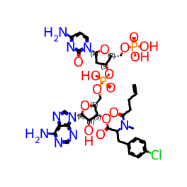 C=CCCC(=O)N(C)C(Cc1ccc(Cl)cc1)C(=O)O[C@H]1[C@@H](O)[C@H](n2cnc3c(N)ncnc32)O[C@H]1COP(=O)(O)O[C@H]1C[C@H](n2ccc(N)nc2=O)O[C@@H]1COP(=O)(O)O